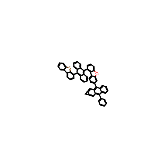 c1ccc(-c2c3ccccc3c(-c3ccc4c(c3)oc3cccc(-c5c6ccccc6c(-c6cccc7c6sc6ccccc67)c6ccccc56)c34)c3cc4c(cc23)C4)cc1